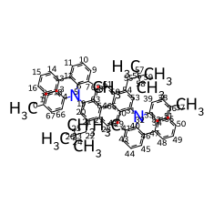 Cc1ccc(N(c2c(C)cccc2-c2ccccc2)c2cc(CC(C)(C)C)c3ccc4c(N(c5ccc(C)cc5)c5c(C)cccc5-c5ccccc5)cc(CC(C)(C)C)c5ccc2c3c54)cc1